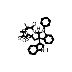 CN1C(=O)C23CC4(c5c[nH]c6ccccc56)c5ccccc5N(c5ccccc5)[C@H]4N2C(=O)[C@@]1(C)SC(=S)S3